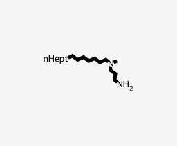 CCCCCCCCCCCCCCN(C)CCCN